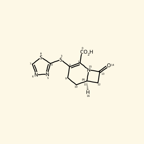 O=C(O)C1=C(Sc2nncs2)CC[C@@H]2CC(=O)N12